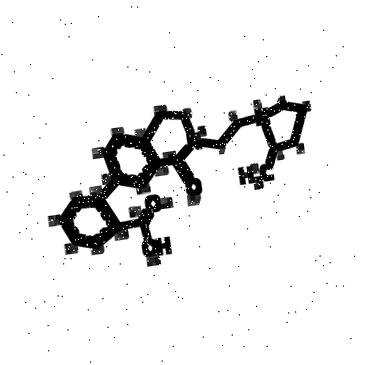 CC1CCCN1CCN1CCc2ccc(-c3ccccc3C(=O)O)cc2C1=O